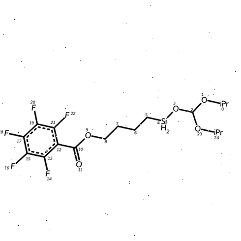 CC(C)OC(O[SiH2]CCCCOC(=O)c1c(F)c(F)c(F)c(F)c1F)OC(C)C